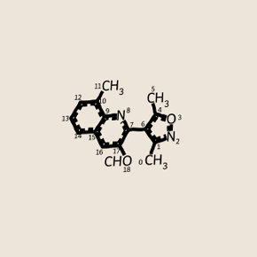 Cc1noc(C)c1-c1nc2c(C)cccc2cc1C=O